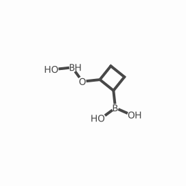 OBOC1CCC1B(O)O